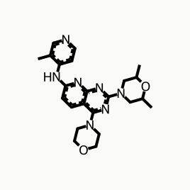 Cc1cnccc1Nc1ccc2c(N3CCOCC3)nc(N3CC(C)OC(C)C3)nc2n1